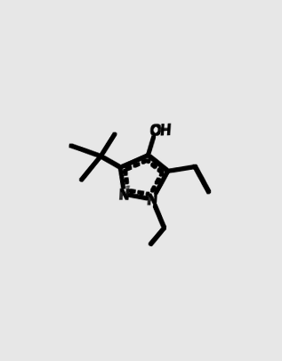 CCc1c(O)c(C(C)(C)C)nn1CC